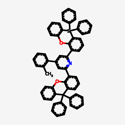 Cc1ccccc1-c1cc(-c2cccc3c2Oc2ccccc2C3(c2ccccc2)c2ccccc2)nc(-c2cccc3c2Oc2ccccc2[Si]3(c2ccccc2)c2ccccc2)c1